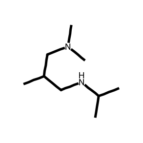 CC(CNC(C)C)CN(C)C